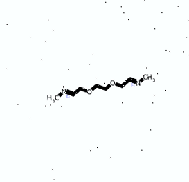 C/N=C/COCCOC/C=N/C